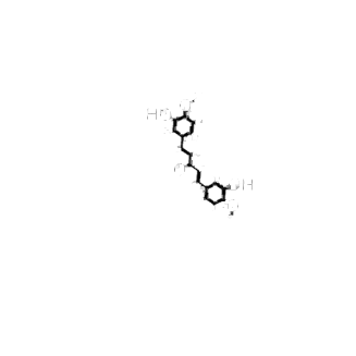 COc1ccc(C=CC(=O)C=Cc2ccc(OC)c(O)c2)cc1O